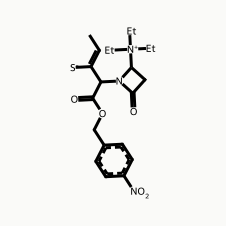 CC=C([S-])C(C(=O)OCc1ccc([N+](=O)[O-])cc1)N1C(=O)CC1[N+](CC)(CC)CC